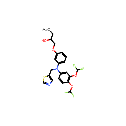 COCC(O)COc1cccc(N(Cc2cncs2)c2ccc(OC(F)F)c(OC(F)F)c2)c1